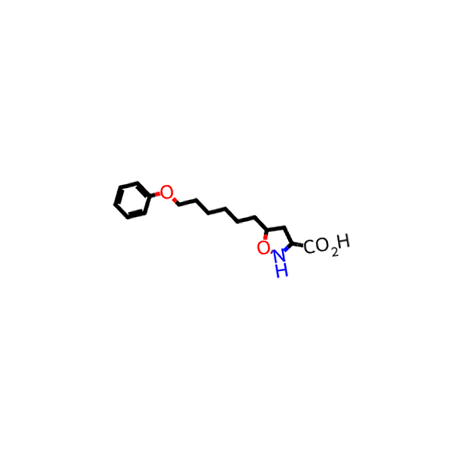 O=C(O)C1CC(CCCCCCOc2ccccc2)ON1